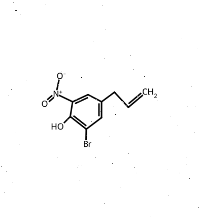 C=CCc1cc(Br)c(O)c([N+](=O)[O-])c1